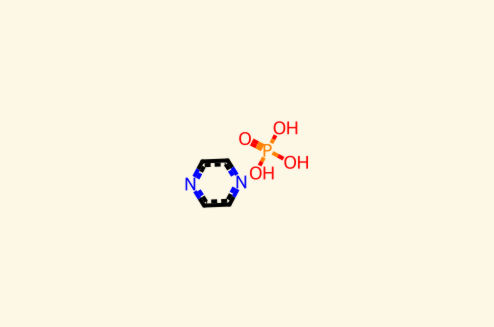 O=P(O)(O)O.c1cnccn1